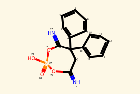 N=C1CC(c2ccccc2)(c2ccccc2)C(=N)OP(=O)(O)O1